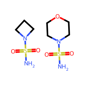 NS(=O)(=O)N1CCC1.NS(=O)(=O)N1CCOCC1